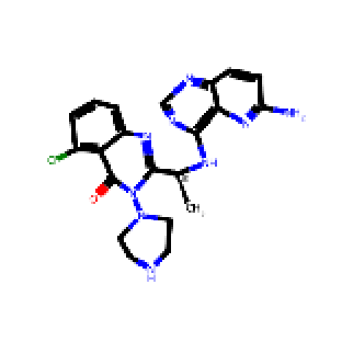 C[C@H](Nc1ncnc2ccc(N)nc12)c1nc2cccc(Cl)c2c(=O)n1N1CCNCC1